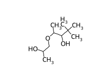 CC(O)COC(C)C(O)C(C)(C)C